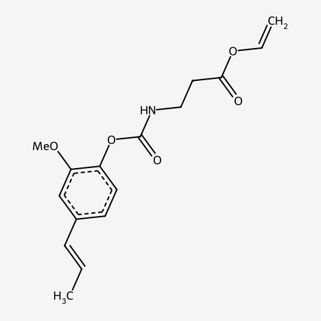 C=COC(=O)CCNC(=O)Oc1ccc(/C=C/C)cc1OC